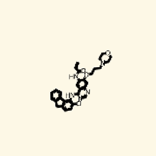 C=CC(=O)Nc1cc2c(Nc3c(Cl)ccc4c3-c3ccccc3C4)ncnc2cc1OCCCN1CCOCC1